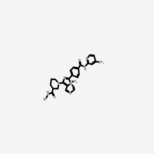 CCNC(=O)C1CCCN(C2=C3C=NC=C[N+]3(N)C(c3ccc(C(=O)Nc4cc(C(F)(F)F)ccn4)cc3)=N2)C1